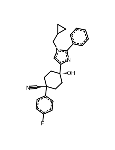 N#C[C@]1(c2ccc(F)cc2)CC[C@](O)(c2cn(CC3CC3)c(-c3ccccc3)n2)CC1